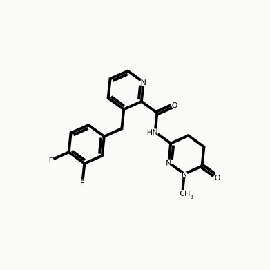 CN1N=C(NC(=O)c2ncccc2Cc2ccc(F)c(F)c2)CCC1=O